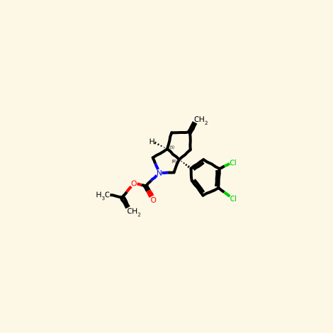 C=C1C[C@@H]2CN(C(=O)OC(=C)C)C[C@]2(c2ccc(Cl)c(Cl)c2)C1